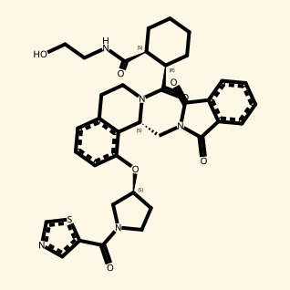 O=C(NCCO)[C@H]1CCCC[C@H]1C(=O)N1CCc2cccc(O[C@H]3CCN(C(=O)c4cncs4)C3)c2[C@H]1CN1C(=O)c2ccccc2C1=O